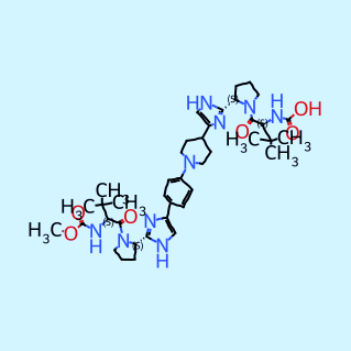 COC(=O)N[C@H](C(=O)N1CCC[C@H]1c1nc(-c2ccc(N3CCC(c4c[nH]c([C@@H]5CCCN5C(=O)[C@@H](NC(=O)O)C(C)(C)C)n4)CC3)cc2)c[nH]1)C(C)(C)C